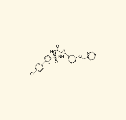 O=C(O)[C@@]1(NS(=O)(=O)c2ccc(-c3ccc(Cl)cc3)s2)C[C@H]1c1cccc(OCc2ccccn2)c1